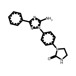 Nc1nc(-c2ccccc2)nn1-c1ccc(N2CCNC2=O)cc1